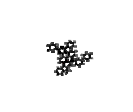 CC1(C)c2ccccc2-c2ccc(N(c3cccc(-c4ccccc4)c3)c3ccccc3-c3ccccc3-c3nc(-c4ccccc4)nc(-c4ccccc4)n3)cc21